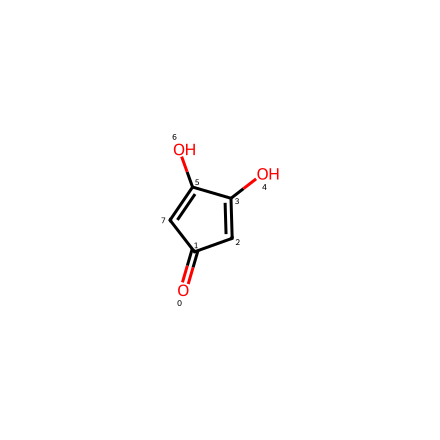 O=C1C=C(O)C(O)=C1